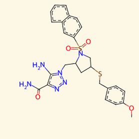 COc1ccc(CSC2CC(Cn3nnc(C(N)=O)c3N)N(S(=O)(=O)c3ccc4ccccc4c3)C2)cc1